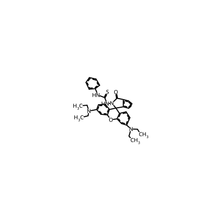 CCN(CC)c1ccc2c(c1)Oc1cc(N(CC)CC)ccc1C21c2ccccc2C(=O)N1NC(=S)Nc1ccccc1